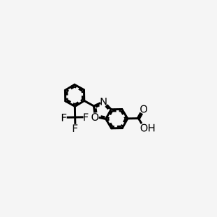 O=C(O)c1ccc2oc(-c3ccccc3C(F)(F)F)nc2c1